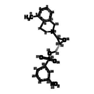 Cc1cccc2c1CCN(C1O[C@@H]1COS(=O)(=O)c1cccc([N+](=O)[O-])c1)C2